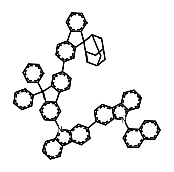 c1ccc(C2(c3ccccc3)c3ccc(-n4c5ccccc5c5ccc(-c6ccc7c8ccccc8n(-c8cccc9ccccc89)c7c6)cc54)cc3-c3ccc(-c4ccc5c(c4)C4(c6ccccc6-5)C5CC6CC(C5)CC4C6)cc32)cc1